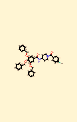 O=C(NC1CCN(C(=O)c2ccc(F)cc2)CC1)c1cc(OCc2ccccc2)c(OCc2ccccc2)c(OCc2ccccc2)c1